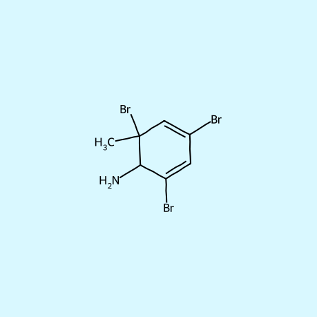 CC1(Br)C=C(Br)C=C(Br)C1N